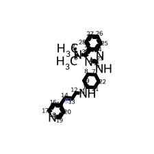 CN(C)c1nc(N[C@H]2CC[C@@H](NC/C=C/c3ccncc3)CC2)nc2ccccc12